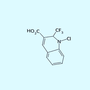 O=C(O)C1=Cc2ccccc2N(Cl)C1C(F)(F)F